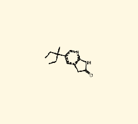 CCC(C)(CC)c1cnc2c(c1)CC(=O)N2